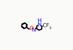 FC(F)(F)[C@@H]1CC/C(=N/OCc2ccccc2)CN1